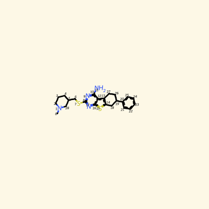 CN1CCCC(CSc2nc(N)c3c4c(sc3n2)CC(c2ccccc2)CC4)C1